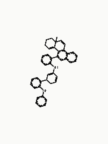 CC12C=Cc3c(c(-c4ccccc4NC4=CC(c5ccccc5Nc5ccccc5)CC=C4)cc4ccccc34)C1=CCCC2